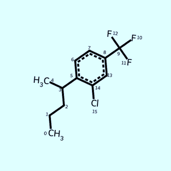 CCCC(C)c1ccc(C(F)(F)F)cc1Cl